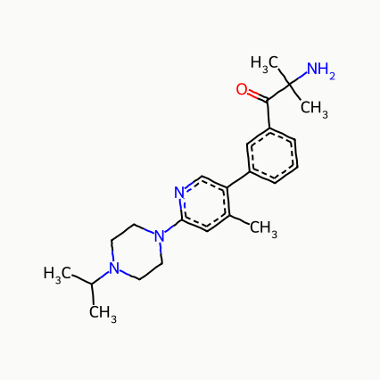 Cc1cc(N2CCN(C(C)C)CC2)ncc1-c1cccc(C(=O)C(C)(C)N)c1